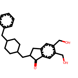 O=C1c2cc(CO)c(CO)cc2CC1CC1CCC(Cc2ccccc2)CC1